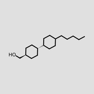 CCCCCC1CCC([C@H]2CC[C@H](CO)CC2)CC1